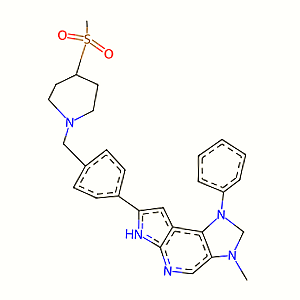 CN1CN(c2ccccc2)c2c1cnc1[nH]c(-c3ccc(CN4CCC(S(C)(=O)=O)CC4)cc3)cc21